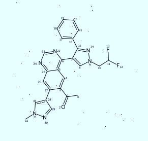 CC(=O)c1cc2c(-c3cn(CC(F)F)nc3-c3ccccc3)ncnc2cc1-c1cnn(C)c1